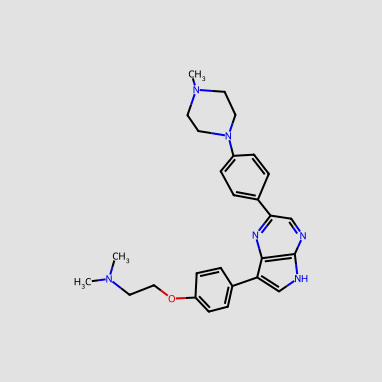 CN(C)CCOc1ccc(-c2c[nH]c3ncc(-c4ccc(N5CCN(C)CC5)cc4)nc23)cc1